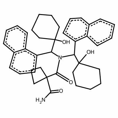 NC(=O)C1(C(=O)N(C(c2cccc3ccccc23)C2(O)CCCCC2)C(c2cccc3ccccc23)C2(O)CCCCC2)CCC1